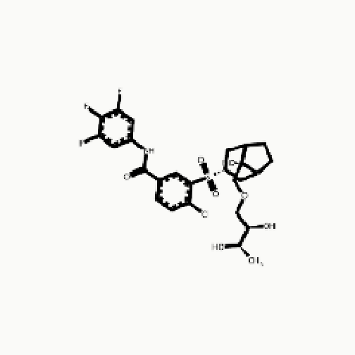 C[C@@H](O)[C@H](O)COC[C@]1(O)C2CCC1C[C@@H](S(=O)(=O)c1cc(C(=O)Nc3cc(F)c(F)c(F)c3)ccc1Cl)C2